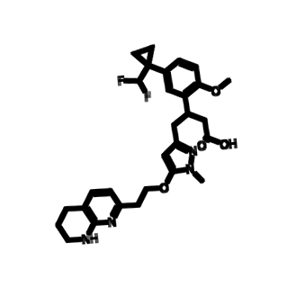 COc1ccc(C2(C(F)F)CC2)cc1C(CC(=O)O)Cc1cc(OCCc2ccc3c(n2)NCCC3)n(C)n1